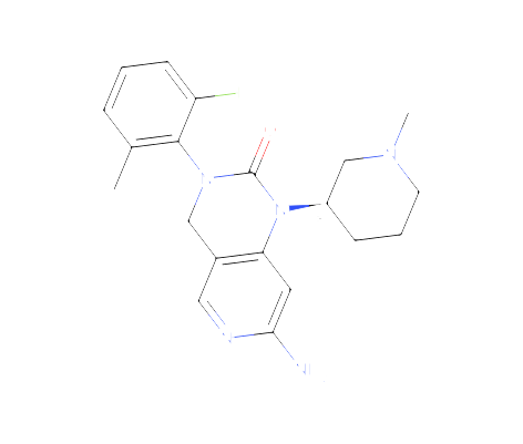 Cc1cccc(F)c1N1Cc2cnc(N)cc2N([C@@H]2CCCN(C)C2)C1=O